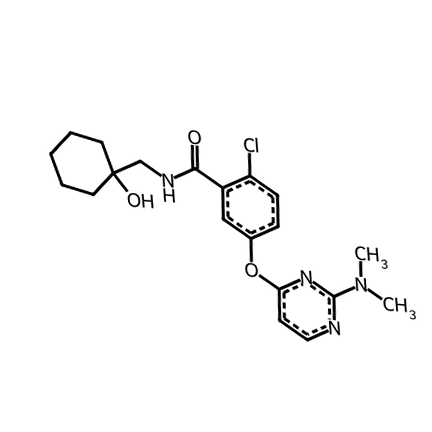 CN(C)c1nccc(Oc2ccc(Cl)c(C(=O)NCC3(O)CCCCC3)c2)n1